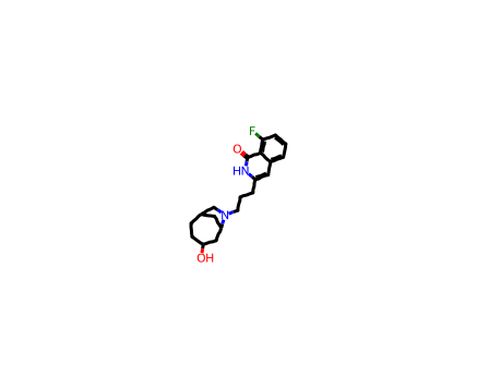 O=c1[nH]c(CCCN2CC3CCC(O)CC2C3)cc2cccc(F)c12